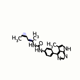 C/C=C\C=C(/C)NC(=O)Nc1ccc(-c2ncnc3[nH]cc(C)c23)cc1